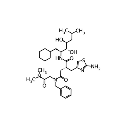 CC(C)C[C@H](O)[C@H](O)[C@H](CC1CCCCC1)NC(=O)[C@@H](CC(=O)N(CC(=O)N(C)C)Cc1ccccc1)Cc1csc(N)n1